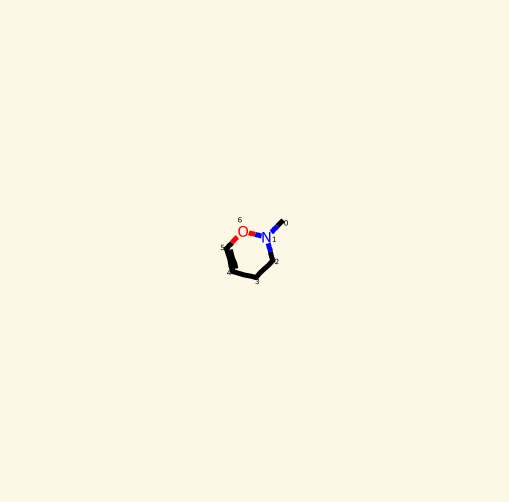 CN1CCC=CO1